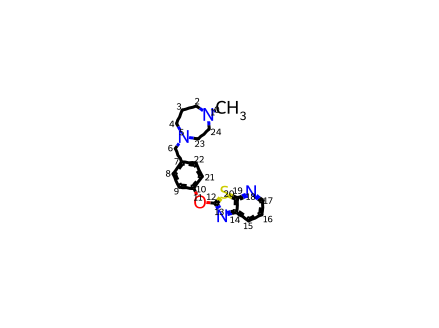 CN1CCCN(Cc2ccc(Oc3nc4cccnc4s3)cc2)CC1